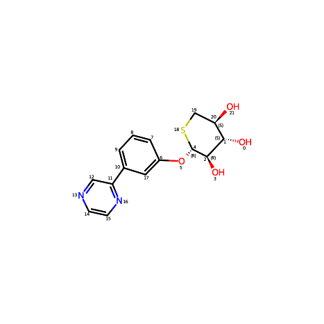 O[C@@H]1[C@@H](O)[C@H](Oc2cccc(-c3cnccn3)c2)SC[C@H]1O